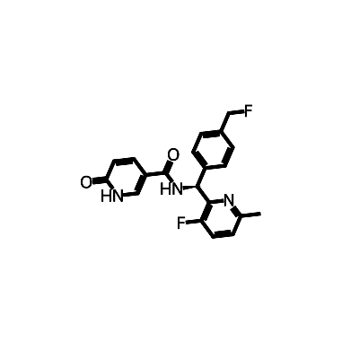 Cc1ccc(F)c([C@@H](NC(=O)c2ccc(=O)[nH]c2)c2ccc(CF)cc2)n1